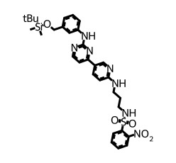 CC(C)(C)[Si](C)(C)OCc1cccc(Nc2nccc(-c3ccc(NCCCNS(=O)(=O)c4ccccc4[N+](=O)[O-])nc3)n2)c1